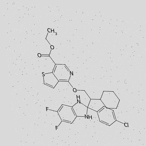 CCOC(=O)c1cnc(OCC(C2CCCCC2)C2(c3ccc(Cl)cc3)Nc3cc(F)c(F)cc3N2)c2ccsc12